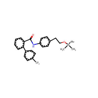 CC(C)(C)[Si](C)(C)OCCc1ccc(NC(=O)c2ccccc2-c2ccc(C(F)(F)F)cc2)cc1